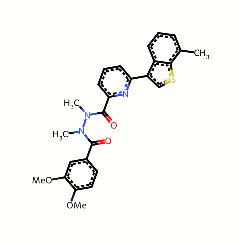 COc1ccc(C(=O)N(C)N(C)C(=O)c2cccc(-c3csc4c(C)cccc34)n2)cc1OC